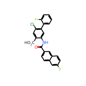 O=C(Nc1cc(-c2ccccc2F)c(Cl)cc1C(=O)O)c1ccc2cc(F)ccc2c1